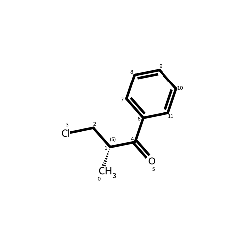 C[C@H](CCl)C(=O)c1ccccc1